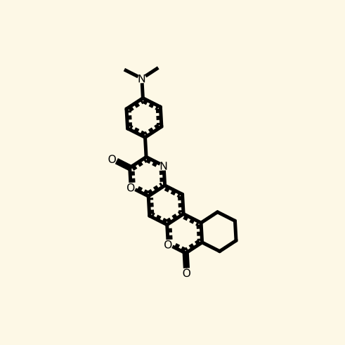 CN(C)c1ccc(-c2nc3cc4c5c(c(=O)oc4cc3oc2=O)CCCC5)cc1